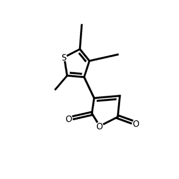 Cc1sc(C)c(C2=CC(=O)OC2=O)c1C